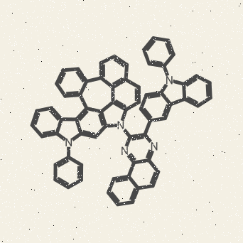 c1ccc(-n2c3ccccc3c3cc(-c4nc5ccc6ccccc6c5nc4-n4c5cc6c(c7c5c5c8c(cccc8ccc54)-c4ccccc4-7)c4ccccc4n6-c4ccccc4)ccc32)cc1